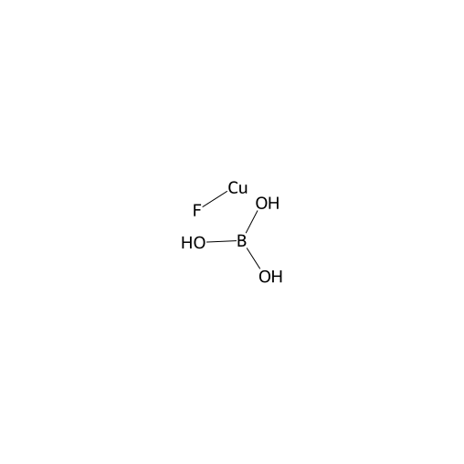 OB(O)O.[F][Cu]